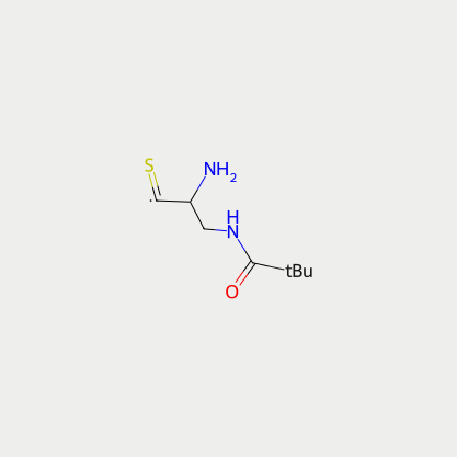 CC(C)(C)C(=O)NCC(N)[C]=S